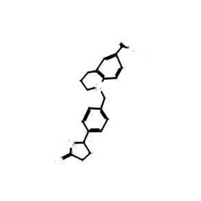 NC(=O)c1ccc2c(c1)CCCN2Cc1ccc(C2CCC(=O)N2)cc1